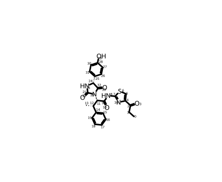 CCC(=O)c1csc(NC(=O)[C@H]([C@@H](C)c2ccccc2)N2C(=O)N[C@H](c3ccc(O)cc3)C2=O)n1